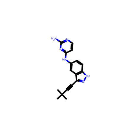 CC(C)(C)C#Cc1n[nH]c2ccc(Nc3ccnc(N)n3)cc12